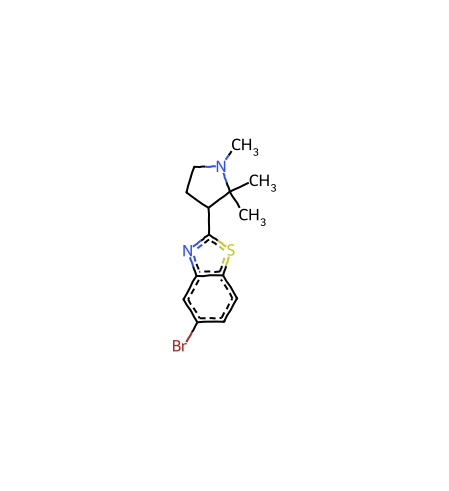 CN1CCC(c2nc3cc(Br)ccc3s2)C1(C)C